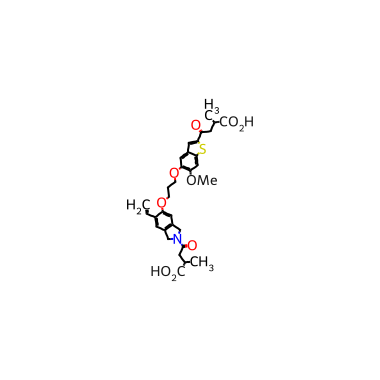 C=Cc1cc2c(cc1OCCCOc1cc3cc(C(=O)CC(C)C(=O)O)sc3cc1OC)CN(C(=O)CC(C)C(=O)O)C2